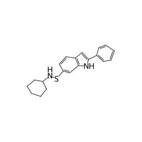 c1ccc(-c2cc3ccc(SNC4CCCCC4)cc3[nH]2)cc1